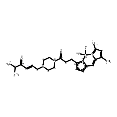 CC1=CC(C)=[N+]2C1=Cc1ccc(CCC(=O)N3CCN(C/C=C/C(=O)C(C)C)CC3)n1[B-]2(F)F